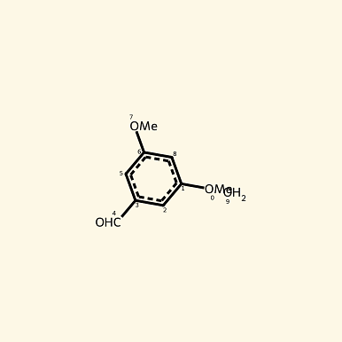 COc1cc(C=O)cc(OC)c1.O